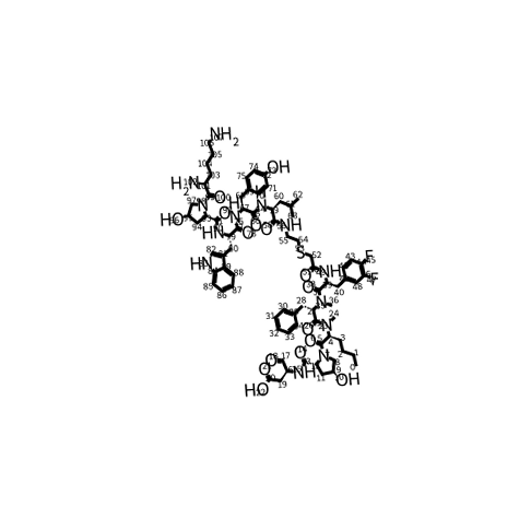 CCCC[C@@H](C(=O)N1C[C@H](O)C[C@@H]1C(=O)N[C@H](C=O)CC(=O)O)N(C)C(=O)[C@H](Cc1ccccc1)N(C)C(=O)[C@H](Cc1ccc(F)c(F)c1)NC(=O)CSCCNC(=O)[C@H](CC(C)C)NC(=O)[C@H](Cc1ccc(O)cc1)NC(=O)[C@H](Cc1c[nH]c2ccccc12)NC(=O)[C@H]1C[C@@H](O)CN1C(=O)[C@@H](N)CCCCN